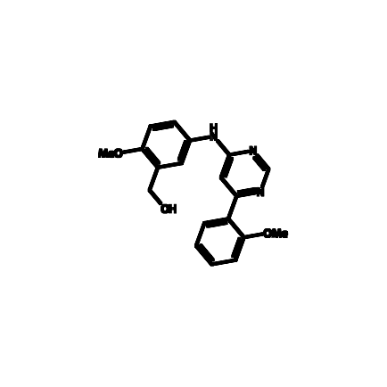 COc1ccc(Nc2cc(-c3ccccc3OC)ncn2)cc1CO